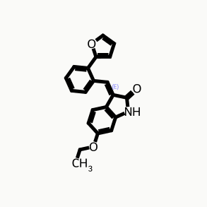 CCOc1ccc2c(c1)NC(=O)/C2=C/c1ccccc1-c1ccco1